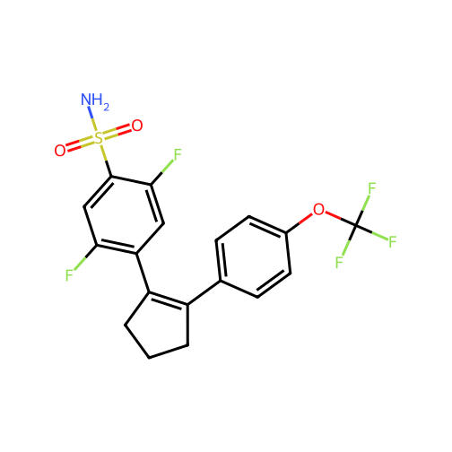 NS(=O)(=O)c1cc(F)c(C2=C(c3ccc(OC(F)(F)F)cc3)CCC2)cc1F